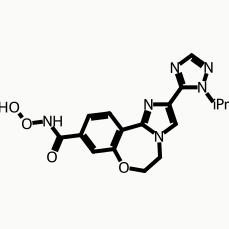 CC(C)n1ncnc1-c1cn2c(n1)-c1ccc(C(=O)NOO)cc1OCC2